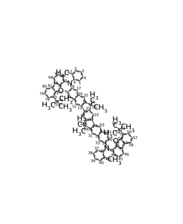 Cc1ccccc1N(c1ccc2cc3c(cc2c1)C(C)(C)c1cc2c(cc1-3)C(C)(C)c1cc3cc(N(c4ccccc4C)c4cccc5c4oc4c(C(C)(C)C)cccc45)ccc3cc1-2)c1cccc2c1oc1c(C(C)(C)C)cccc12